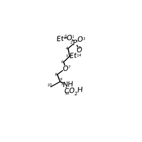 CCOP(=O)(CCCOCC(C)NC(=O)O)OCC